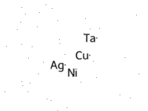 [Ag].[Cu].[Ni].[Ta]